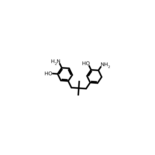 CC(C)(CC1=CCC(N)C(O)=C1)Cc1ccc(N)c(O)c1